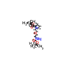 CC(C)(C)OC(=O)NCCOCCN1CCC[C@H]1C(=O)OC(C)(C)C